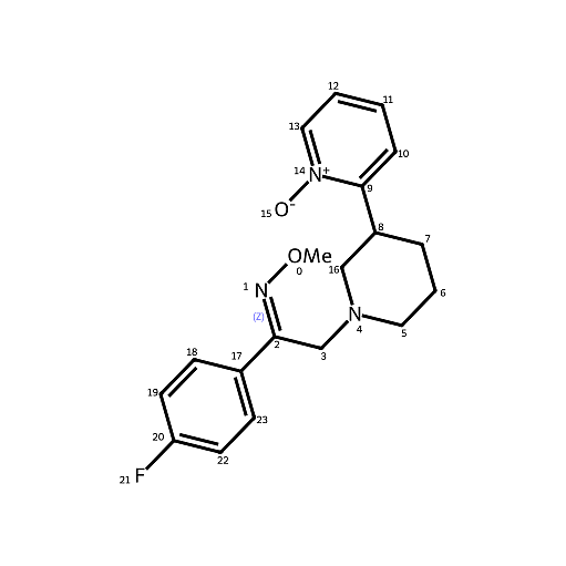 CO/N=C(\CN1CCCC(c2cccc[n+]2[O-])C1)c1ccc(F)cc1